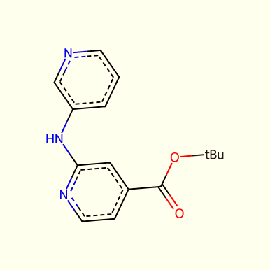 CC(C)(C)OC(=O)c1ccnc(Nc2cccnc2)c1